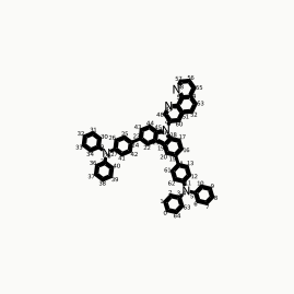 c1ccc(N(c2ccccc2)c2ccc(-c3ccc4c(c3)c3cc(-c5ccc(N(c6ccccc6)c6ccccc6)cc5)ccc3n4-c3cnc4c(ccc5cccnc54)c3)cc2)cc1